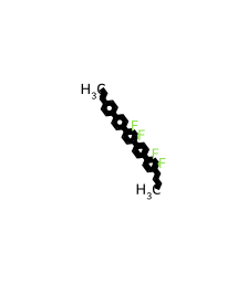 C/C=C/C1CCC(C2CCC(c3ccc(-c4ccc(-c5ccc(CCCC)c(F)c5F)cc4)c(F)c3F)CC2)CC1